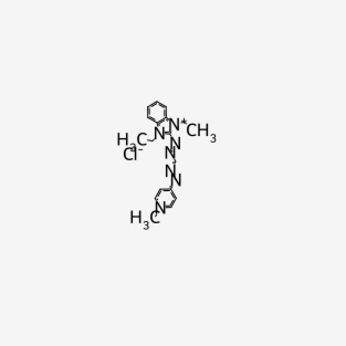 CCn1c(N=NC=NN=c2ccn(C)cc2)[n+](CC)c2ccccc21.[Cl-]